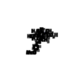 COc1ccc(CSC(C)(C)[C@H](N)C(=O)N(C)[C@@H](/C=C(\C)C(=O)O)C(C)C)cc1.Cl